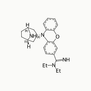 CCN(CC)C(=N)c1ccc2c(c1)Oc1ccccc1N2[C@H]1C[C@H]2CC[C@@H](C1)N2